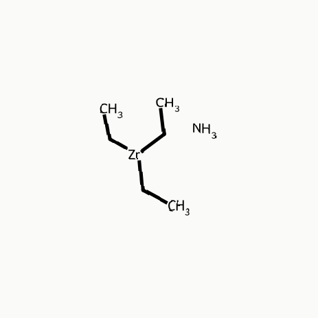 C[CH2][Zr]([CH2]C)[CH2]C.N